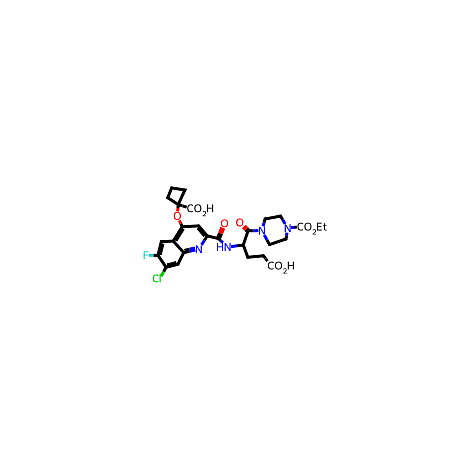 CCOC(=O)N1CCN(C(=O)C(CCC(=O)O)NC(=O)c2cc(OC3(C(=O)O)CCC3)c3cc(F)c(Cl)cc3n2)CC1